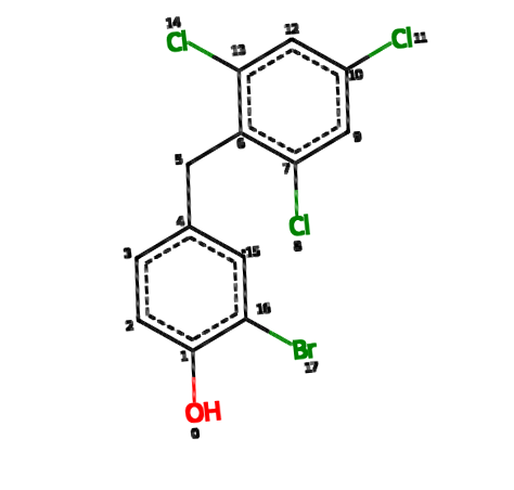 Oc1ccc(Cc2c(Cl)cc(Cl)cc2Cl)[c]c1Br